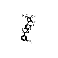 Cc1cccc(C(=O)Nc2nc(=O)n([C@@H]3O[C@H](C)C(O)C3O)cc2F)c1